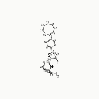 Cc1nc(-c2ccc(C3=CCCCCCC3)cc2)sc1-c1ccnc(N)n1